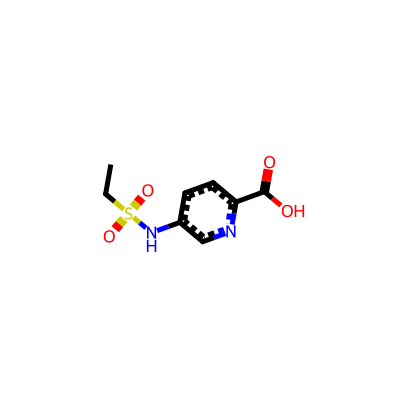 CCS(=O)(=O)Nc1ccc(C(=O)O)nc1